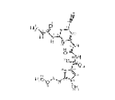 CNC(=O)Nc1cc(C#N)cc(NC(=O)NS(=O)(=O)c2cc(C)c(CCOC)s2)n1